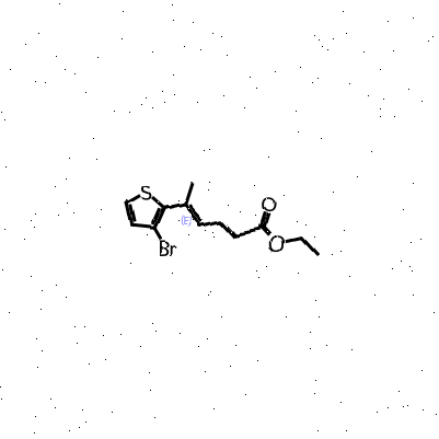 CCOC(=O)CC/C=C(\C)c1sccc1Br